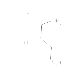 CC[C@H](N)[C@@H](N)CC(=O)O